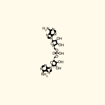 Nc1ncnc2c1ncn2[C@@H]1O[C@H](COP(=O)(O)OC[C@H]2O[C@@H](n3cnc4c(N)ncnc43)[C@H](O)[C@@H]2O)[C@@H](O)[C@H]1O